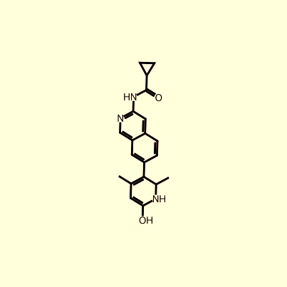 CC1=C(c2ccc3cc(NC(=O)C4CC4)ncc3c2)C(C)NC(O)=C1